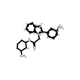 CC1CCCC(OC(=O)Cn2c(-c3cccc([N+](=O)[O-])c3)nc3ccccc32)C1